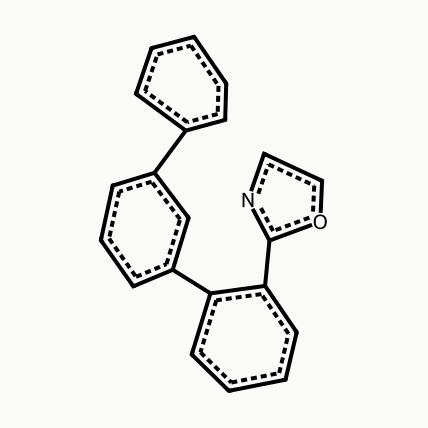 c1ccc(-c2cccc(-c3ccccc3-c3ncco3)c2)cc1